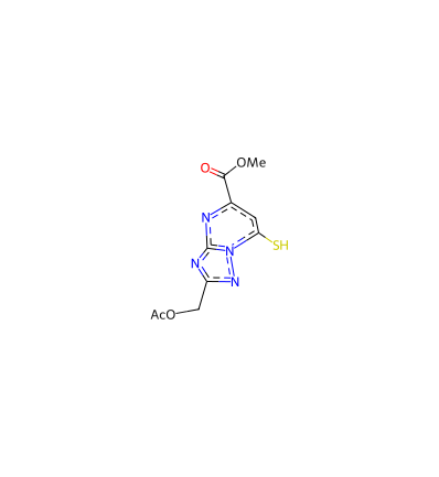 COC(=O)c1cc(S)n2nc(COC(C)=O)nc2n1